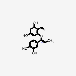 C/C=C(\OC1=C(C=O)C(O)CC(O)=C1)c1ccc(O)c(O)c1